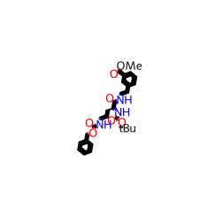 COC(=O)c1cccc(CCNC(=O)[C@H](CCCNC(=O)OCc2ccccc2)NC(=O)OC(C)(C)C)c1